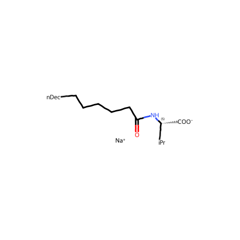 CCCCCCCCCCCCCCCC(=O)N[C@H](C(=O)[O-])C(C)C.[Na+]